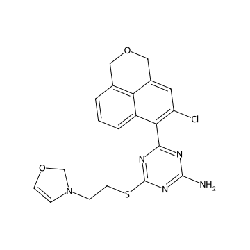 Nc1nc(SCCN2C=COC2)nc(-c2c(Cl)cc3c4c(cccc24)COC3)n1